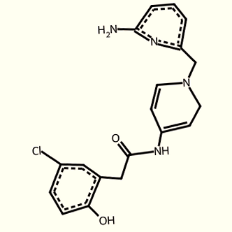 Nc1cccc(CN2C=CC(NC(=O)Cc3cc(Cl)ccc3O)=CC2)n1